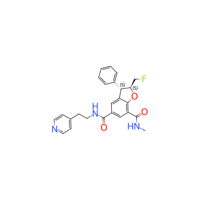 CNC(=O)c1cc(C(=O)NCCc2ccncc2)cc2c1O[C@H](CF)[C@H]2c1ccccc1